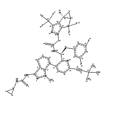 Cn1nc(NC(=O)NC2CC2)c2cccc(-c3ccc(C#CC(C)(C)O)nc3[C@H](Cc3cc(F)cc(F)c3)NC(=O)Cn3nc(C(F)(F)F)c4c3C(F)(F)C3C[C@H]43)c21